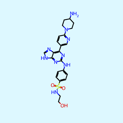 NC1CCN(c2ccc(-c3nc(Nc4ccc(S(=O)(=O)NCCO)cc4)nc4[nH]cnc34)cn2)CC1